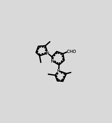 Cc1ccc(C)n1-c1cc(C=O)cc(-n2c(C)ccc2C)n1